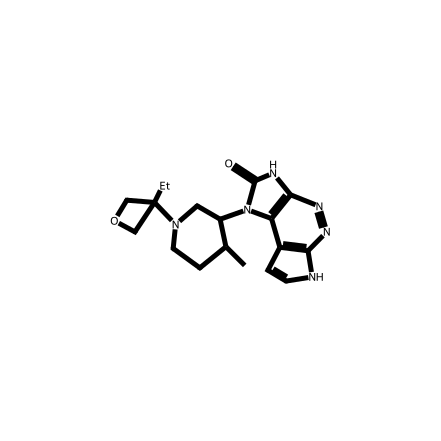 CCC1(N2CCC(C)C(n3c(=O)[nH]c4nnc5[nH]ccc5c43)C2)COC1